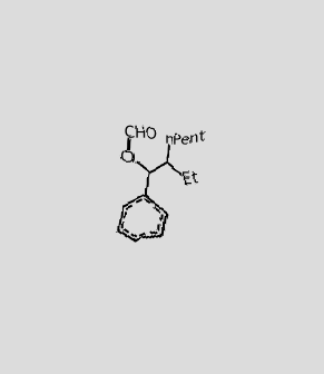 CCCCCC(CC)C(OC=O)c1ccccc1